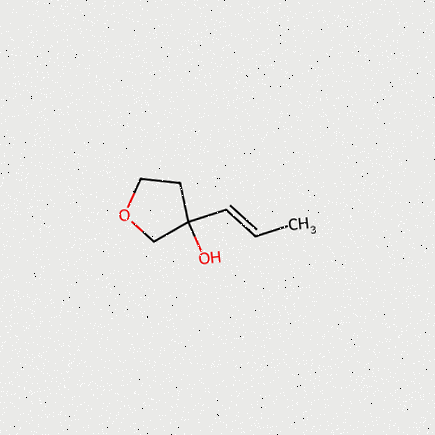 C/C=C/C1(O)CCOC1